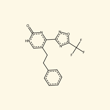 O=c1nc(-c2noc(C(F)(F)F)n2)c(CCc2ccccc2)c[nH]1